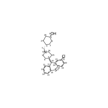 O[C@H]1CC[C@H](CN2CCC(=C3c4ccccc4Sc4ccc(Cl)cc43)CC2)CC1